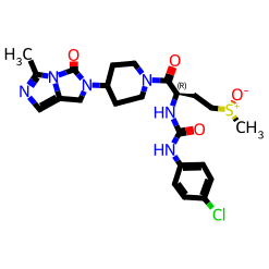 Cc1ncc2n1C(=O)N(C1CCN(C(=O)[C@@H](CC[S+](C)[O-])NC(=O)Nc3ccc(Cl)cc3)CC1)C2